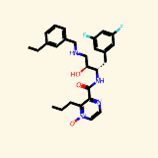 CCCc1c(C(=O)N[C@@H](Cc2cc(F)cc(F)c2)[C@@H](O)CNCc2cccc(CC)c2)ncc[n+]1[O-]